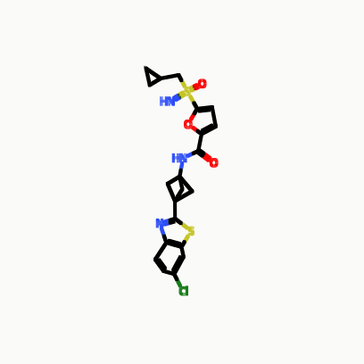 N=S(=O)(CC1CC1)c1ccc(C(=O)NC23CC(c4nc5ccc(Cl)cc5s4)(C2)C3)o1